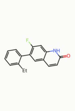 CCc1ccccc1-c1cc2ccc(=O)[nH]c2cc1F